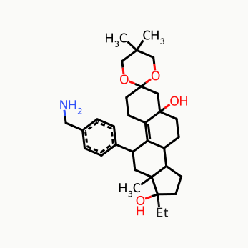 CCC1(O)CCC2C3CCC4(O)CC5(CCC4=C3C(c3ccc(CN)cc3)CC21C)OCC(C)(C)CO5